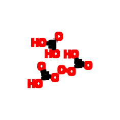 O=[Si](O)O.O=[Si](O)OOO[Si](=O)O